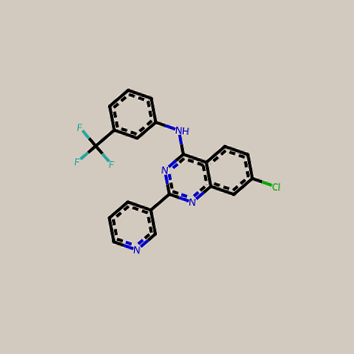 FC(F)(F)c1cccc(Nc2nc(-c3cccnc3)nc3cc(Cl)ccc23)c1